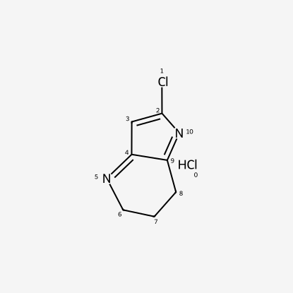 Cl.ClC1=CC2=NCCCC2=N1